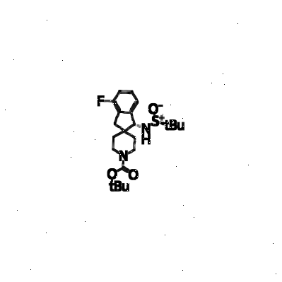 CC(C)(C)OC(=O)N1CCC2(CC1)Cc1c(F)cccc1[C@@H]2N[S@@+]([O-])C(C)(C)C